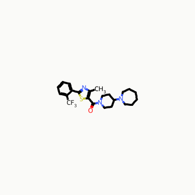 Cc1nc(-c2ccccc2C(F)(F)F)sc1C(=O)N1CCC(N2CCCCCC2)CC1